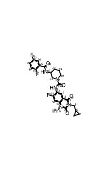 CC(C)n1c(=O)n(CC2CC2)c(=O)c2cc(NC(=O)N3CCCC(NC(=O)c4cc(F)ccc4F)C3)c(F)cc21